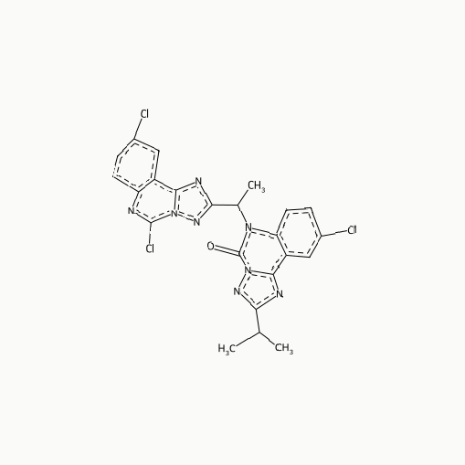 CC(C)c1nc2c3cc(Cl)ccc3n(C(C)c3nc4c5cc(Cl)ccc5nc(Cl)n4n3)c(=O)n2n1